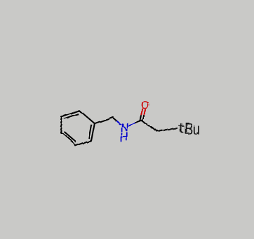 CC(C)(C)CC(=O)NCc1ccccc1